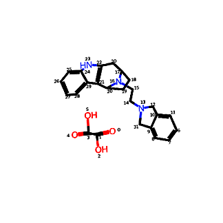 O=C(O)C(=O)O.c1ccc2c(c1)CN(CCN1C3CCC1c1c([nH]c4ccccc14)C3)C2